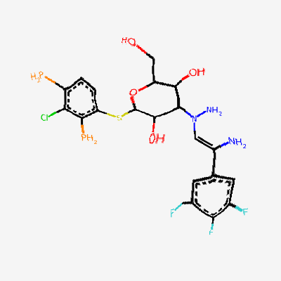 N/C(=C\N(N)C1C(O)C(CO)OC(Sc2ccc(P)c(Cl)c2P)C1O)c1cc(F)c(F)c(F)c1